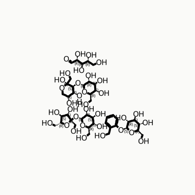 O=C[C@H](O)[C@H](O)[C@H](O)CO.OC[C@H]1O[C@@](CO)(O[C@H]2O[C@H](CO)[C@@H](O)[C@H](O)[C@H]2O)[C@@H](O)[C@@H]1O.OC[C@H]1O[C@H](O[C@H]2[C@H](O)[C@H](O)CO[C@@]2(O)CO)[C@H](O)[C@@H](O)[C@@H]1O.OCc1ccccc1O[C@@H]1O[C@H](CO)[C@@H](O)[C@H](O)[C@H]1O